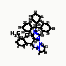 Cc1cccc(/C(=C/n2cccn2)c2cn(C(c3ccccc3)(c3ccccc3)c3ccccc3)cn2)c1C